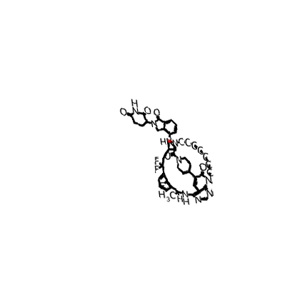 C[C@H]1Nc2ncnc3c2cc(C2CCN(C(=O)CNc4cccc5c4CN(C4CCC(=O)NC4=O)C5=O)CC2)c(=O)n3CCCCCCCN2CC(C2)CC(F)(F)c2cccc1c2F